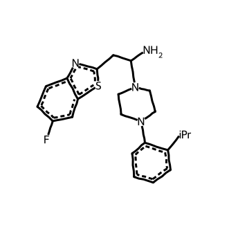 CC(C)c1ccccc1N1CCN(C(N)Cc2nc3ccc(F)cc3s2)CC1